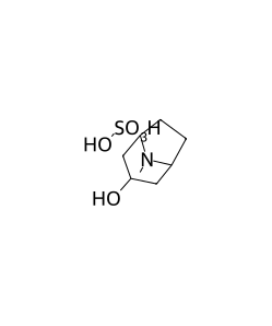 CN1C2CCC1CC(O)C2.O=S(=O)(O)O